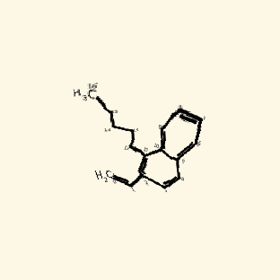 C=Cc1ccc2ccccc2c1CCCCC